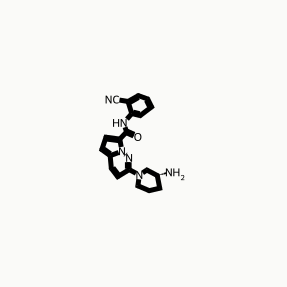 N#Cc1ccccc1NC(=O)c1ccc2ccc(N3CCC[C@@H](N)C3)nn12